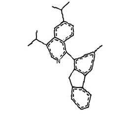 Cc1cc2c(c(-c3ncc(C(C)C)c4cc(C(C)C)ccc34)c1)Cc1ccccc1-2